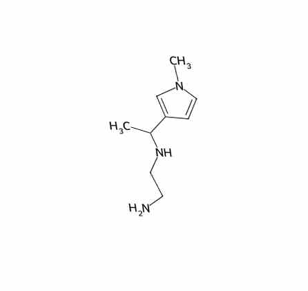 CC(NCCN)c1ccn(C)c1